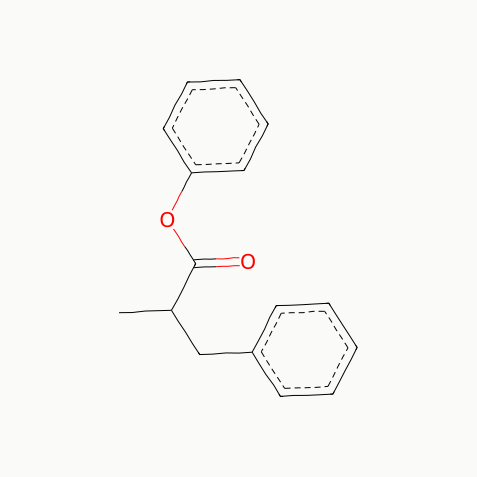 CC(Cc1ccccc1)C(=O)Oc1ccccc1